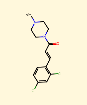 CCCN1CCN(C(=O)C=Cc2ccc(Cl)cc2Cl)CC1